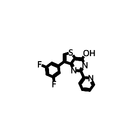 Oc1nc(-c2ccccn2)nc2c(-c3cc(F)cc(F)c3)csc12